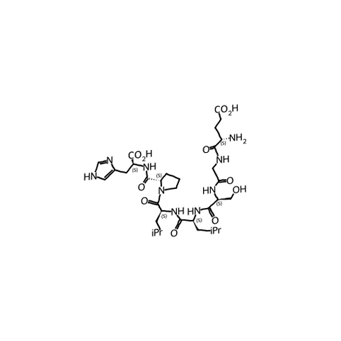 CC(C)C[C@H](NC(=O)[C@H](CO)NC(=O)CNC(=O)[C@@H](N)CCC(=O)O)C(=O)N[C@@H](CC(C)C)C(=O)N1CCC[C@H]1C(=O)N[C@@H](Cc1c[nH]cn1)C(=O)O